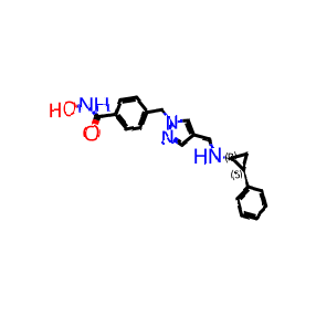 O=C(NO)c1ccc(Cn2cc(CN[C@@H]3C[C@H]3c3ccccc3)cn2)cc1